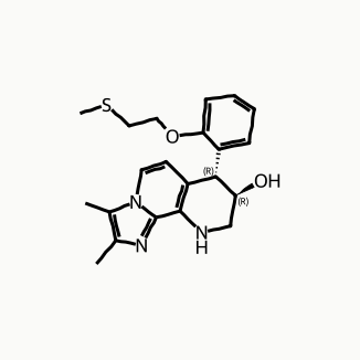 CSCCOc1ccccc1[C@H]1c2ccn3c(C)c(C)nc3c2NC[C@@H]1O